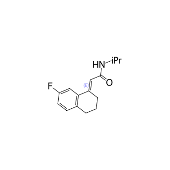 CC(C)NC(=O)/C=C1\CCCc2ccc(F)cc21